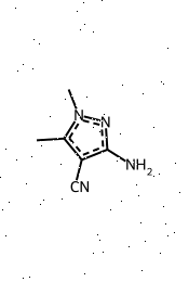 Cc1c(C#N)c(N)nn1C